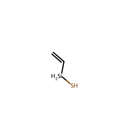 C=C[SiH2]S